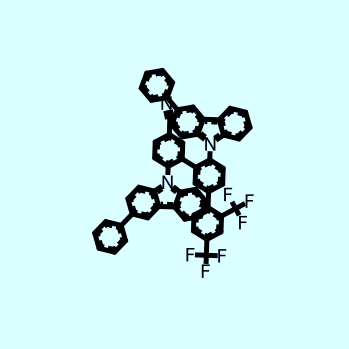 N#Cc1ccc(-n2c3ccccc3c3cc(-c4ccccc4)ccc32)c(-c2cc(-c3ccc(C(F)(F)F)cc3C(F)(F)F)ccc2-n2c3ccccc3c3cc(-c4ccccc4)ccc32)c1